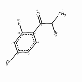 CC(Br)C(=O)c1ccc(Br)cc1F